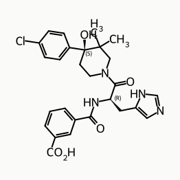 CC1(C)CN(C(=O)[C@@H](Cc2cnc[nH]2)NC(=O)c2cccc(C(=O)O)c2)CC[C@]1(O)c1ccc(Cl)cc1